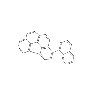 c1ccc2c(-c3ccc4c5c3ccc3ccc6cccc-4c6c35)nccc2c1